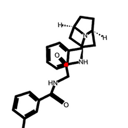 O=C(CNC(=O)c1cccc(Cl)c1)N[C@H]1C[C@H]2CC[C@@H](C1)N2Cc1ccccc1